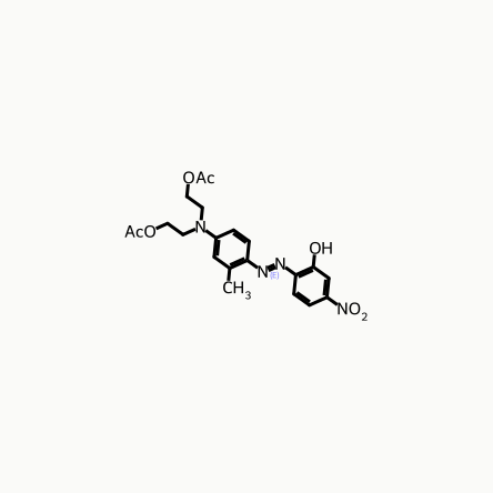 CC(=O)OCCN(CCOC(C)=O)c1ccc(/N=N/c2ccc([N+](=O)[O-])cc2O)c(C)c1